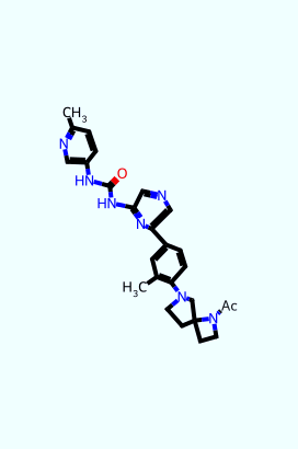 CC(=O)N1CCC12CCN(c1ccc(-c3cncc(NC(=O)Nc4ccc(C)nc4)n3)cc1C)C2